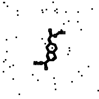 CCCCOC(=O)C=C1CCc2ccc(C(=O)OC)cc2C1